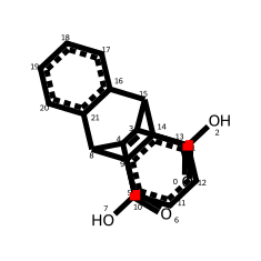 O=C(O)C1=C(C(=O)O)C2c3ccccc3C1c1ccccc12